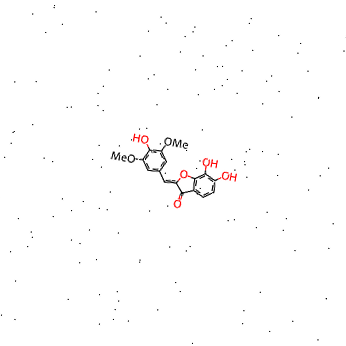 COc1cc(C=C2Oc3c(ccc(O)c3O)C2=O)cc(OC)c1O